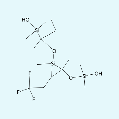 CCC(C)(O[Si]1(C)C(CC(F)(F)F)C1(C)O[Si](C)(C)O)[Si](C)(C)O